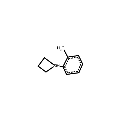 Cc1ccccc1[SiH]1CCC1